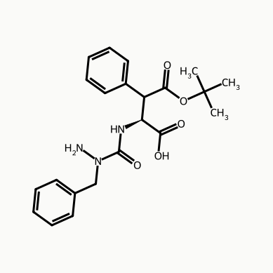 CC(C)(C)OC(=O)C(c1ccccc1)[C@H](NC(=O)N(N)Cc1ccccc1)C(=O)O